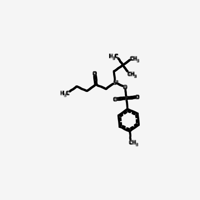 CCCC(=O)C[S+](CC(C)(C)C)OS(=O)(=O)c1ccc(C)cc1